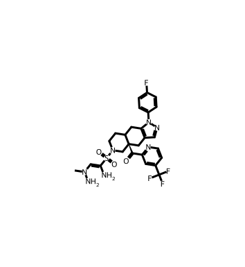 CN(N)/C=C(\N)S(=O)(=O)N1CCC2Cc3c(cnn3-c3ccc(F)cc3)C[C@]2(C(=O)c2cc(C(F)(F)F)ccn2)C1